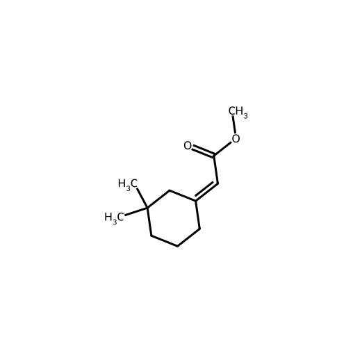 COC(=O)/C=C1/CCCC(C)(C)C1